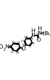 CC(C)(C)NC(=O)Nc1ccc(Oc2ccc([N+](=O)[O-])cc2)cc1